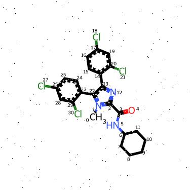 Cn1c(C(=O)NC2CCCCC2)nc(-c2ccc(Cl)cc2Cl)c1-c1ccc(Cl)cc1Cl